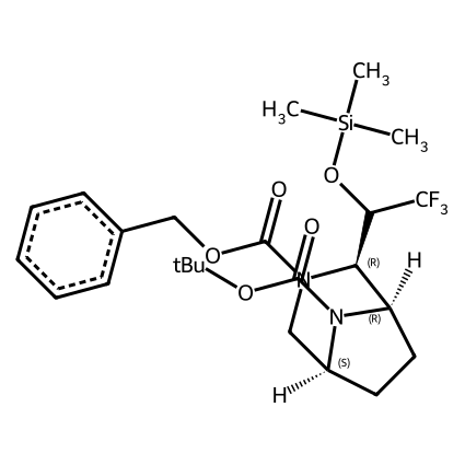 CC(C)(C)OC(=O)N1[C@H]2CC[C@@H]1[C@H](C(O[Si](C)(C)C)C(F)(F)F)N(C(=O)OCc1ccccc1)C2